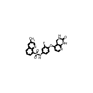 Cc1cnc2c(S(=O)(=O)Nc3ccc(Oc4ccnc5c4CNC(=O)N5)c(F)c3)cccc2c1